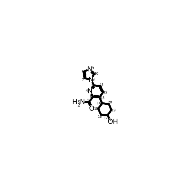 NC(=O)c1nc(-n2ccnc2)ccc1C1CCC(O)CC1